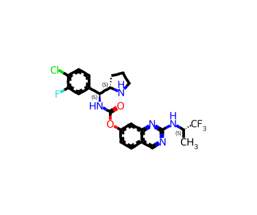 C[C@H](Nc1ncc2ccc(OC(=O)N[C@@H](c3ccc(Cl)c(F)c3)[C@@H]3CCCN3)cc2n1)C(F)(F)F